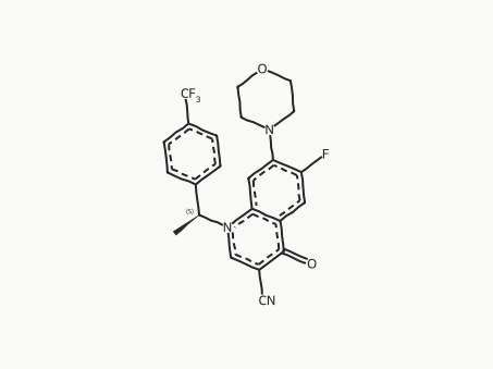 C[C@@H](c1ccc(C(F)(F)F)cc1)n1cc(C#N)c(=O)c2cc(F)c(N3CCOCC3)cc21